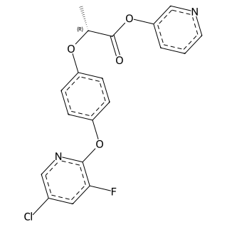 C[C@@H](Oc1ccc(Oc2ncc(Cl)cc2F)cc1)C(=O)Oc1cccnc1